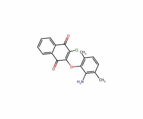 Cc1ccc(C)c(OC2=C(Cl)C(=O)c3ccccc3C2=O)c1N